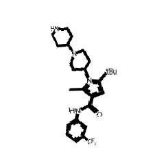 Cc1c(C(=O)Nc2cccc(C(F)(F)F)c2)cc(C(C)(C)C)n1C1CCN(C2CCNCC2)CC1